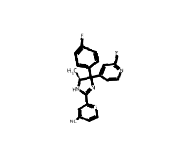 C[C@@H]1NC(c2cc(C#N)ccn2)=NC1(c1ccc(F)cc1)c1ccnc(F)c1